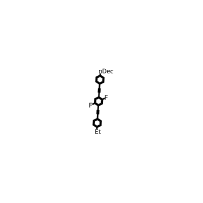 CCCCCCCCCCc1ccc(C#Cc2cc(F)c(C#Cc3ccc(CC)cc3)cc2F)cc1